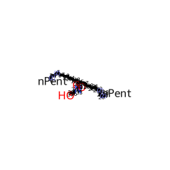 CCCCC/C=C\C/C=C\CCCCCCCCC(CCCCCCCC/C=C\C/C=C\CCCCC)OC(=O)N(C)CCCO